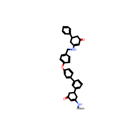 CCCCCCCCCNC1=CC(=O)CC(c2cccc(-c3ccc(Oc4ccc(CNC5=CC(=O)CC(c6ccccc6)C5)cc4)cc3)c2)C1